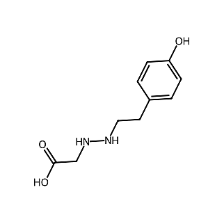 O=C(O)CNNCCc1ccc(O)cc1